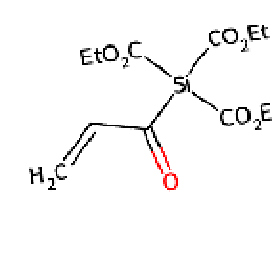 C=CC(=O)[Si](C(=O)OCC)(C(=O)OCC)C(=O)OCC